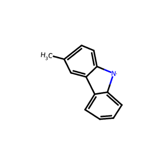 Cc1ccc2c(c1)-c1ccccc1[N]2